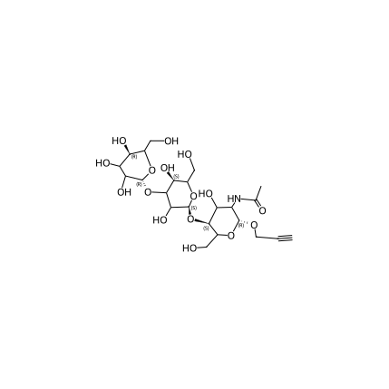 C#CCO[C@@H]1OC(CO)[C@@H](O[C@@H]2OC(CO)[C@H](O)C(O[C@H]3OC(CO)[C@H](O)C(O)C3O)C2O)C(O)C1NC(C)=O